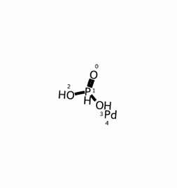 O=[PH](O)O.[Pd]